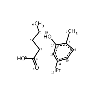 CCCCC(=O)O.Cc1ccc(C(C)C)cc1O